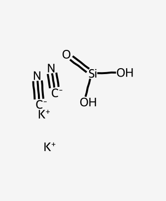 O=[Si](O)O.[C-]#N.[C-]#N.[K+].[K+]